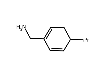 CC(C)C1C=CC(CN)=CC1